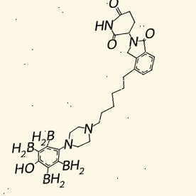 Bc1c(B)c(N2CCN(CCCCCCc3cccc4c3CN(C3CCC(=O)NC3=O)C4=O)CC2)c(B)c(B)c1O